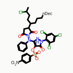 CCCCCCCCCCCCCC(CCC(C)Cl)C1CC(=O)N(N(c2ccccc2)c2[nH]n(-c3c(Cl)cc(Cl)cc3Cl)c(=O)c2OS(=O)(=O)c2ccc([N+](=O)[O-])cc2)C1=O